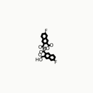 O=C(O)c1cc2cc(F)ccc2cc1C(=O)OC(=O)c1cc2ccc(F)cc2cc1C(=O)O